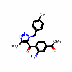 COC(=O)c1ccc(C(=O)c2c(C(=O)O)nnn2Cc2ccc(OC)cc2)c(N)c1